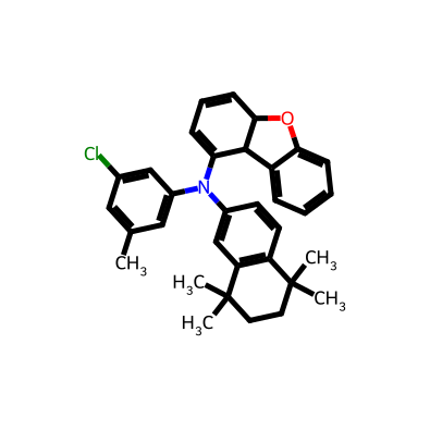 Cc1cc(Cl)cc(N(C2=CC=CC3Oc4ccccc4C23)c2ccc3c(c2)C(C)(C)CCC3(C)C)c1